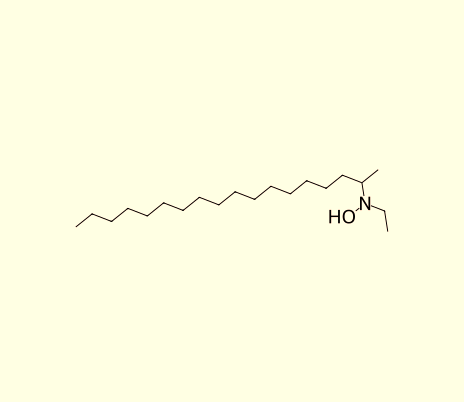 CCCCCCCCCCCCCCCCC(C)N(O)CC